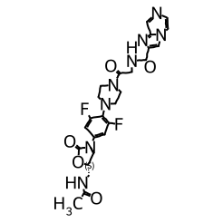 CC(=O)NC[C@H]1CN(c2cc(F)c(N3CCN(C(=O)CNC(=O)c4cn5ccncc5n4)CC3)c(F)c2)C(=O)O1